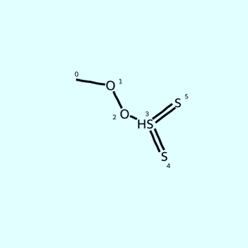 COO[SH](=S)=S